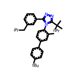 CCCC(C)(C)c1nnc(-c2cccc(CC(C)C)c2)n1-c1ccc(-c2ccc(C(C)(C)C)cc2)cc1C